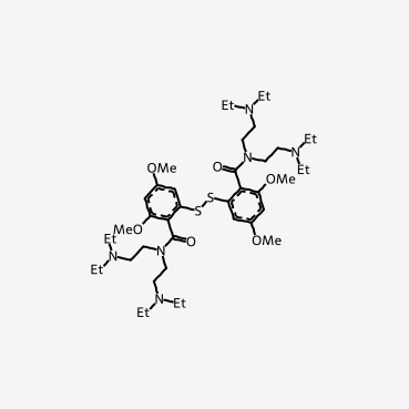 CCN(CC)CCN(CCN(CC)CC)C(=O)c1c(OC)cc(OC)cc1SSc1cc(OC)cc(OC)c1C(=O)N(CCN(CC)CC)CCN(CC)CC